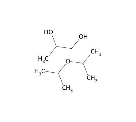 CC(C)OC(C)C.CC(O)CO